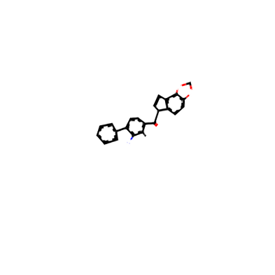 Nc1c(-c2ccccc2)ccc(C(=O)C2C=Cc3c2ccc2c3OCO2)c1C(=O)O